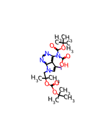 CC(C)(C)OC(=O)OC(C)(C)Cn1cc(I)c2c(N(C(=O)O)C(=O)OC(C)(C)C)ncnc21